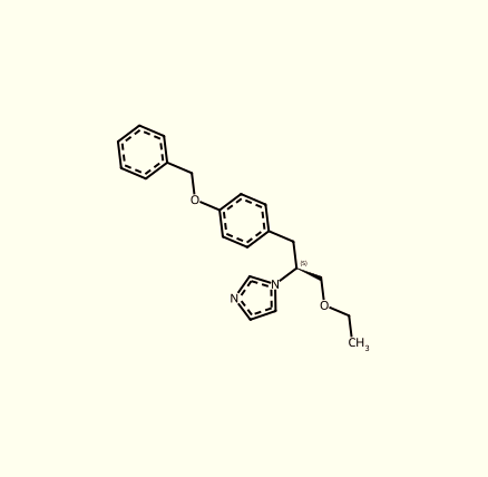 CCOC[C@H](Cc1ccc(OCc2ccccc2)cc1)n1ccnc1